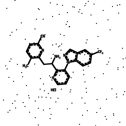 Cc1ccc(C#N)nc1CC(N)c1ncccc1-n1ncc2cc(C(F)(F)F)ccc21.Cl